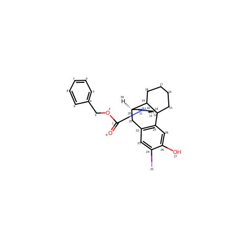 O=C(OCc1ccccc1)N1CCC[C@@]23CCCCC2[C@@H]1Cc1cc(I)c(O)cc13